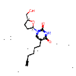 C#CCCCCc1cn([C@H]2CC[C@@H](CO)O2)c(=O)[nH]c1=O